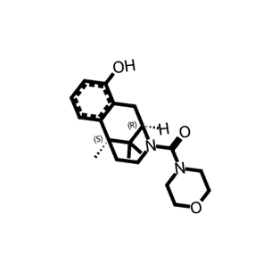 CC1(C)[C@H]2Cc3c(O)cccc3[C@]1(C)CCN2C(=O)N1CCOCC1